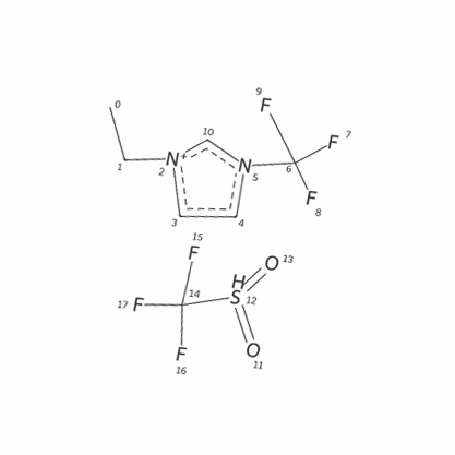 CC[n+]1ccn(C(F)(F)F)c1.O=[SH](=O)C(F)(F)F